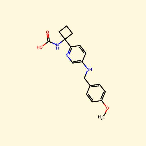 COc1ccc(CNc2ccc(C3(NC(=O)O)CCC3)nc2)cc1